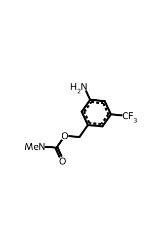 CNC(=O)OCc1cc(N)cc(C(F)(F)F)c1